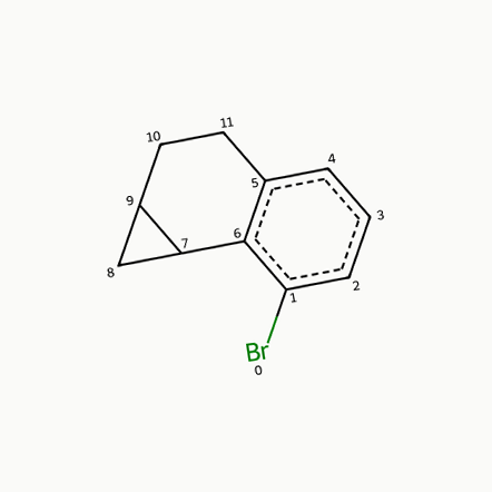 Brc1cccc2c1C1CC1CC2